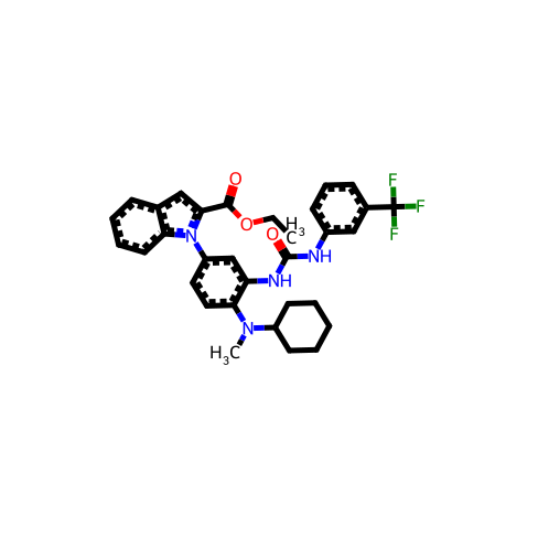 CCOC(=O)c1cc2ccccc2n1-c1ccc(N(C)C2CCCCC2)c(NC(=O)Nc2cccc(C(F)(F)F)c2)c1